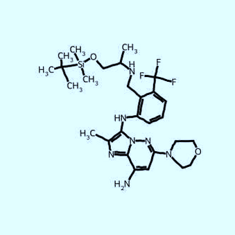 Cc1nc2c(N)cc(N3CCOCC3)nn2c1Nc1cccc(C(F)(F)F)c1CNC(C)CO[Si](C)(C)C(C)(C)C